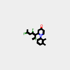 C=C(F)/C(=C(F)\C=C(/C)F)C1CC(=O)C=CN1c1cccc(C)c1C